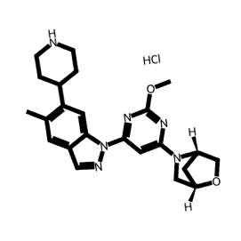 COc1nc(N2C[C@@H]3C[C@H]2CO3)cc(-n2ncc3cc(C)c(C4CCNCC4)cc32)n1.Cl